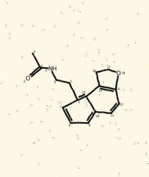 CC(=O)NCCc1cccc2ccc3c(c12)CCO3